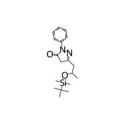 CC(CC1=NN(c2ccccc2)C(=O)C1)O[Si](C)(C)C(C)(C)C